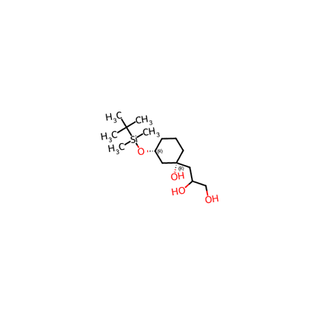 CC(C)(C)[Si](C)(C)O[C@@H]1CCC[C@@](O)(CC(O)CO)C1